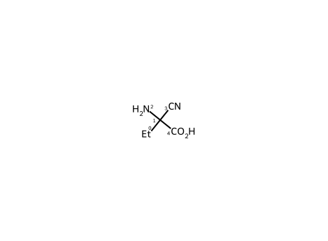 CCC(N)(C#N)C(=O)O